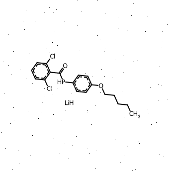 CCCCCOc1ccc(PC(=O)c2c(Cl)cccc2Cl)cc1.[LiH]